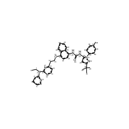 CCN(c1ccccn1)c1nccc(CCOc2ccc(NC(=O)Nc3cc(C(C)(C)C)nn3-c3ccc(C)cc3)c3ccccc23)n1